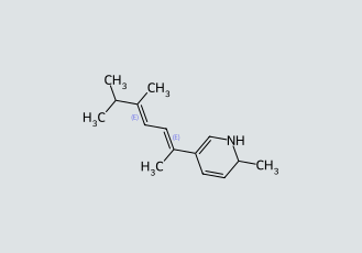 C/C(=C\C=C(/C)C(C)C)C1=CNC(C)C=C1